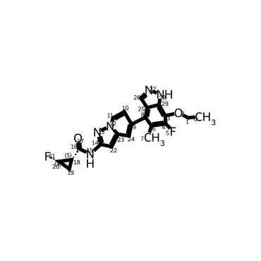 CCOc1c(F)c(C)c(-c2ccn3nc(NC(=O)[C@@H]4C[C@@H]4F)cc3c2)c2cn[nH]c12